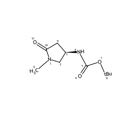 CN1C[C@H](NC(=O)OC(C)(C)C)CC1=O